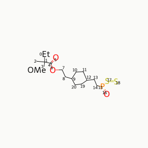 CCC(C)(OC)C(=O)OCCC1CCC(CCP(=O)=S=S)CC1